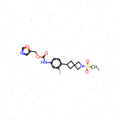 CS(=O)(=O)N1CC2(CC(c3ccc(NC(=O)OCc4cnco4)cc3F)C2)C1